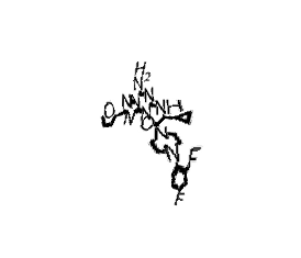 Nc1nc(N[C@H](C(=O)N2CCN(c3ccc(F)cc3F)CC2)C2CC2)nc2nc(-c3ccco3)nn12